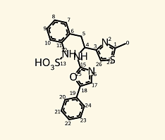 Cc1nc(C(Cc2ccccc2NS(=O)(=O)O)Nc2ncc(-c3ccccc3)o2)cs1